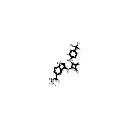 CNC(=O)c1ccc2[nH]cc(NC3C(=O)C(=O)C3Nc3ccc(C(F)(F)F)cc3)c2c1